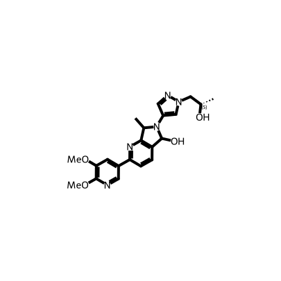 COc1cc(-c2ccc3c(n2)C(C)N(c2cnn(C[C@H](C)O)c2)C3O)cnc1OC